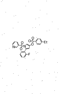 CCc1ccc(S(=O)(=O)Oc2cc(-c3ccccc3F)n(S(=O)(=O)c3cccnc3)c2)cc1